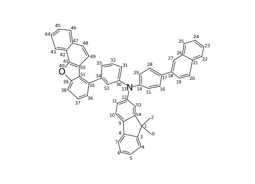 CC1(C)c2ccccc2-c2ccc(N(c3ccc(-c4ccc5ccccc5c4)cc3)c3cccc(-c4cccc5oc6c7ccccc7ccc6c45)c3)cc21